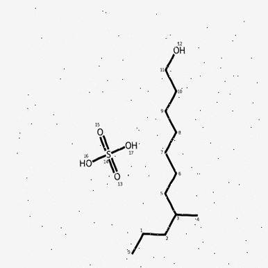 CCCC(C)CCCCCCCO.O=S(=O)(O)O